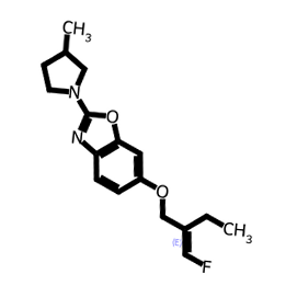 CC/C(=C\F)COc1ccc2nc(N3CCC(C)C3)oc2c1